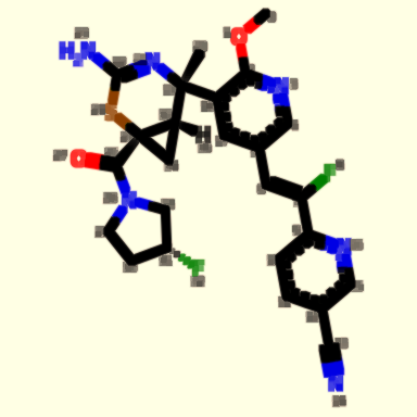 COc1ncc(/C=C(\F)c2ccc(C#N)cn2)cc1[C@@]1(C)N=C(N)S[C@@]2(C(=O)N3CC[C@@H](F)C3)C[C@H]21